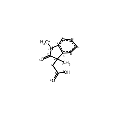 CN1C(=O)C(C)(CC(=O)O)c2ccccc21